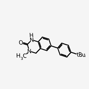 CN1Cc2cc(-c3ccc(C(C)(C)C)cc3)ccc2NC1=O